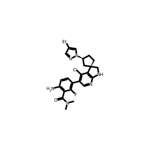 CCc1cnn([C@H]2CC[C@]3(CNc4ncc(-c5ccc(N)c(C(=O)N(C)C)c5F)c(Cl)c43)C2)c1